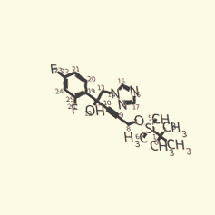 CC(C)(C)[Si](C)(C)OCC#CC(O)(Cn1cncn1)c1ccc(F)cc1F